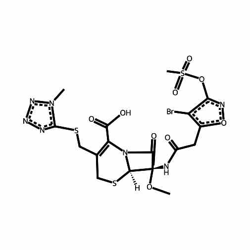 CO[C@@]1(NC(=O)Cc2onc(OS(C)(=O)=O)c2Br)C(=O)N2C(C(=O)O)=C(CSc3nnnn3C)CS[C@@H]21